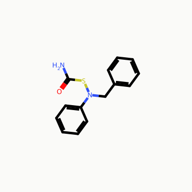 NC(=O)SN(Cc1ccccc1)c1ccccc1